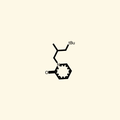 CC(Cn1ccccc1=O)CC(C)(C)C